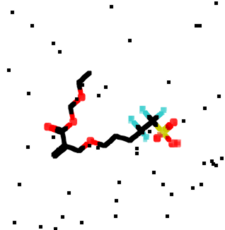 C=C(COCCCC(F)(F)C(F)(F)S(=O)(=O)O)C(=O)OCOCC